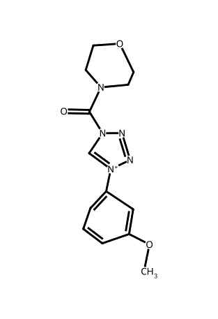 COc1cccc(-[n+]2cn(C(=O)N3CCOCC3)nn2)c1